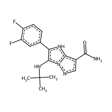 CC(C)(C)Nc1c(-c2ccc(F)c(F)c2)[nH]c2c(C(N)=O)cnn12